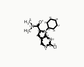 CN(C)C(=O)c1cc2cnc(Cl)nc2n1C1CCCCC1